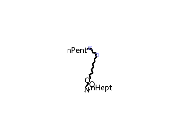 CCCCC/C=C\C/C=C\CCCCCCCCOC(CN(C)C)OCCCCCCC